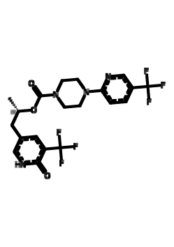 C[C@@H](Cc1c[nH]c(=O)c(C(F)(F)F)c1)OC(=O)N1CCN(c2ccc(C(F)(F)F)cn2)CC1